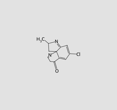 CC1CC23N=CCC(=O)C2=CC(Cl)=CC3=N1